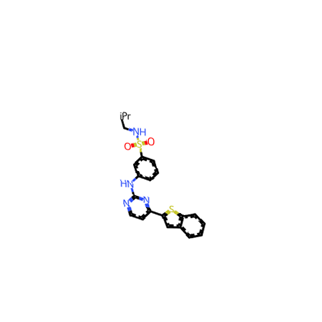 CC(C)CNS(=O)(=O)c1cccc(Nc2nccc(-c3cc4ccccc4s3)n2)c1